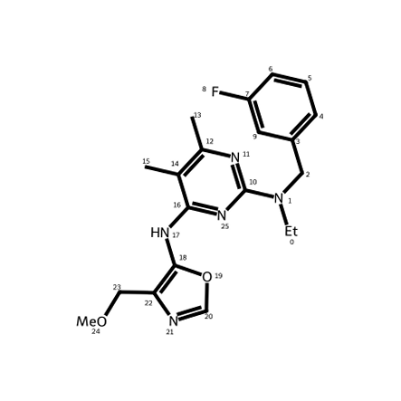 CCN(Cc1cccc(F)c1)c1nc(C)c(C)c(Nc2ocnc2COC)n1